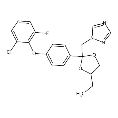 CCC1COC(Cn2cncn2)(c2ccc(Oc3c(F)cccc3Cl)cc2)O1